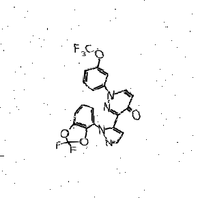 O=c1ccn(-c2cccc(OC(F)(F)F)c2)nc1-c1ccnn1-c1cccc2c1OC(F)(F)O2